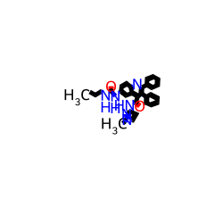 CCCCNC(=O)Nc1ccc2nc(-c3ccccc3)c(-c3ccccc3)c(C(=O)Nc3ccn(C)n3)c2c1